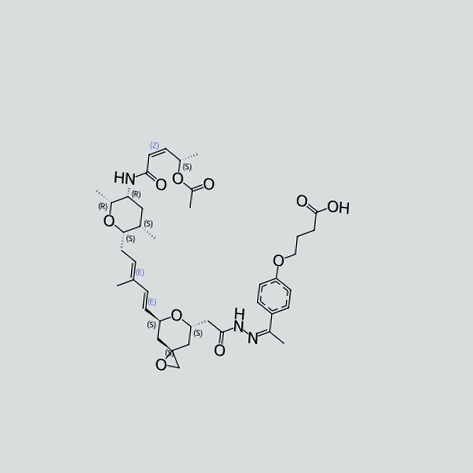 CC(=O)O[C@@H](C)/C=C\C(=O)N[C@@H]1C[C@H](C)[C@H](C/C=C(C)/C=C/[C@@H]2C[C@]3(CO3)C[C@@H](CC(=O)NN=C(C)c3ccc(OCCCC(=O)O)cc3)O2)O[C@@H]1C